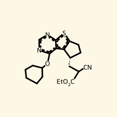 CCOC(=O)C(C#N)C[C@H]1CCc2sc3ncnc(OC4CCCCC4)c3c21